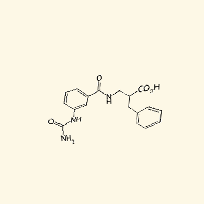 NC(=O)Nc1cccc(C(=O)NCC(Cc2ccccc2)C(=O)O)c1